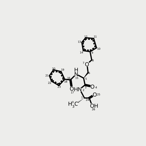 C[C@H](NC(=O)[C@H](COCc1ccccc1)NC(=O)c1ccccc1)C(=O)O